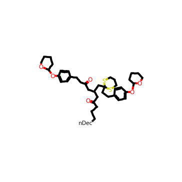 CCCCCCCCCCCCCC(=O)CC(CC(=O)CCc1ccc(OC2CCCCO2)cc1)CC1(CCc2ccc(OC3CCCCO3)cc2)SCCCS1